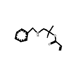 C=CC(=O)OC(C)(C)CNCc1ccccc1